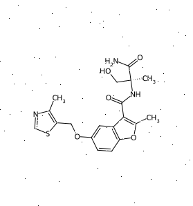 Cc1ncsc1COc1ccc2oc(C)c(C(=O)N[C@@](C)(CO)C(N)=O)c2c1